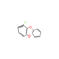 [O]c1cccc(F)c1Oc1ccccc1